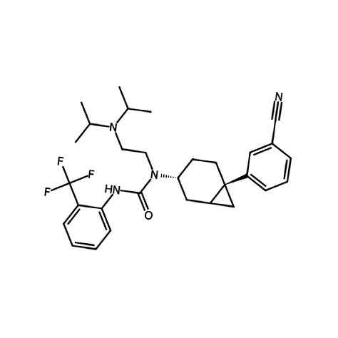 CC(C)N(CCN(C(=O)Nc1ccccc1C(F)(F)F)[C@@H]1CC[C@]2(c3cccc(C#N)c3)CC2C1)C(C)C